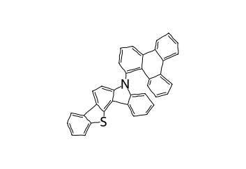 c1ccc2c(c1)sc1c2ccc2c1c1ccccc1n2-c1cccc2c3ccccc3c3ccccc3c12